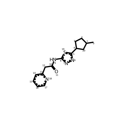 CC1CCC(c2nnc(NC(=O)Cc3ccccn3)s2)C1